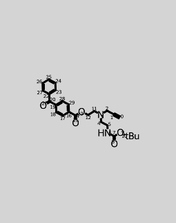 C#CCN(CCNC(=O)OC(C)(C)C)CCOC(=O)c1ccc(C(=O)c2ccccc2)cc1